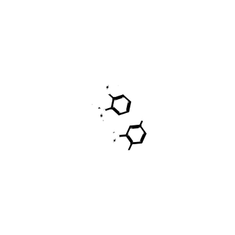 CSc1ccccc1B(O)O.OB(O)c1cc(Cl)ccc1Cl